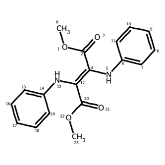 COC(=O)/C(Nc1ccccc1)=C(\Nc1ccccc1)C(=O)OC